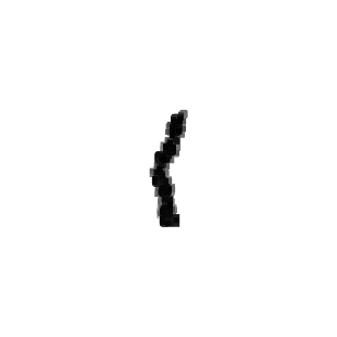 CCOc1ccc(/N=C/c2ccc(CC(=O)CC[C@H](C)CC(=O)Cc3ccc(/C=N/c4ccc(O)cc4)cc3)cc2)cc1